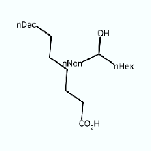 CCCCCCCCCC(O)CCCCCC.CCCCCCCCCCCCCCCC(=O)O